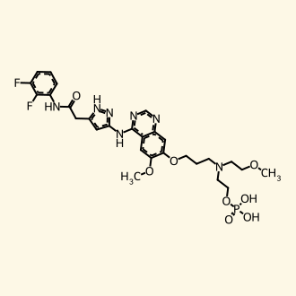 COCCN(CCCOc1cc2ncnc(Nc3cc(CC(=O)Nc4cccc(F)c4F)[nH]n3)c2cc1OC)CCOP(=O)(O)O